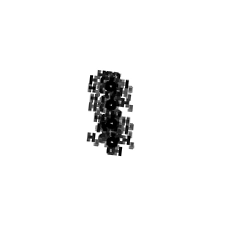 COc1cc(O)cc(C)c1C(=O)Oc1c(C)c(C)c(C(=O)Oc2cc(C)c(C(=O)Oc3c(C)c(C)c(C(=O)O)c(C)c3C)c(C)c2C)c(O)c1C(F)(F)F